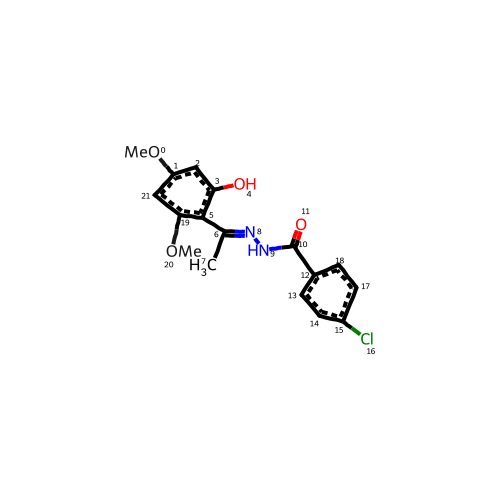 COc1cc(O)c(/C(C)=N/NC(=O)c2ccc(Cl)cc2)c(OC)c1